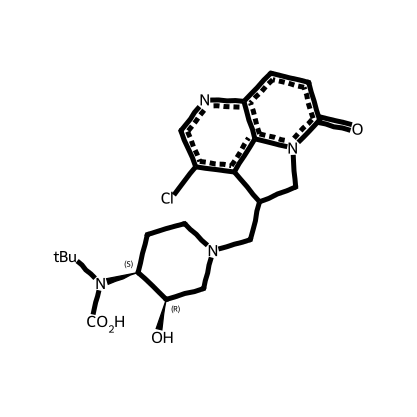 CC(C)(C)N(C(=O)O)[C@H]1CCN(CC2Cn3c(=O)ccc4ncc(Cl)c2c43)C[C@H]1O